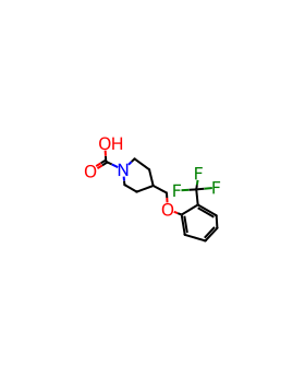 O=C(O)N1CCC(COc2ccccc2C(F)(F)F)CC1